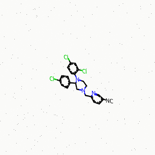 [C-]#[N+]c1ccc(CN2CCN(c3ccc(Cl)cc3Cl)C(c3ccc(Cl)cc3)C2)nc1